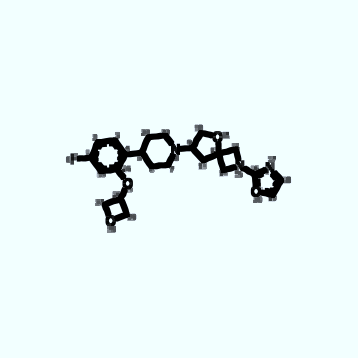 Fc1ccc(C2CCN(C3COC4(C3)CN(c3ncco3)C4)CC2)c(OC2COC2)c1